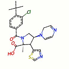 CC(C)(C)c1ccc(C(=O)N2C[C@@H](N3C=CN=CC3)C(c3cncs3)[C@@]2(C)C(=O)O)cc1Cl